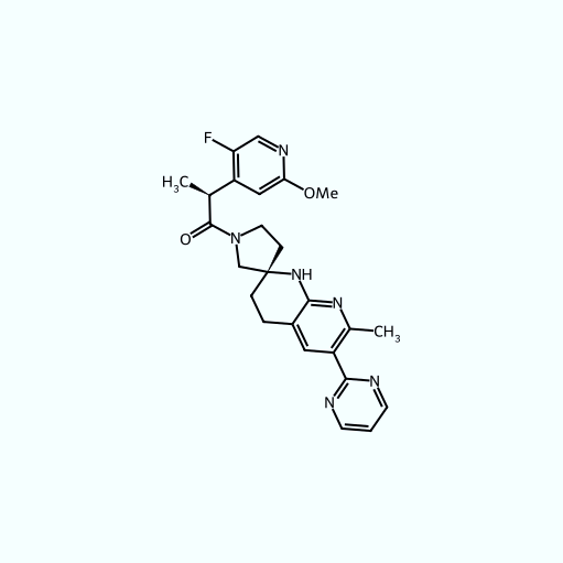 COc1cc([C@H](C)C(=O)N2CC[C@@]3(CCc4cc(-c5ncccn5)c(C)nc4N3)C2)c(F)cn1